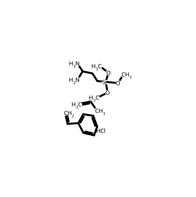 C=CC.C=Cc1ccccc1.CO[Si](CCC(N)N)(OC)OC.Cl